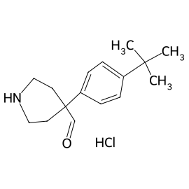 CC(C)(C)c1ccc(C2(C=O)CCNCC2)cc1.Cl